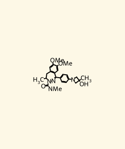 CNC(=O)N1N=C(c2ccc(N3CC(C)(O)C3)cc2)c2cc(OC)c(OC)cc2CC1C